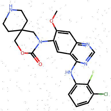 COc1cc2ncnc(Nc3cccc(Cl)c3F)c2cc1N1CC2(CCNCC2)COC1=O